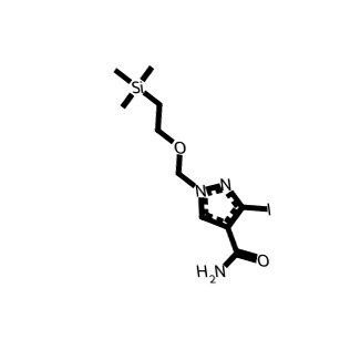 C[Si](C)(C)CCOCn1cc(C(N)=O)c(I)n1